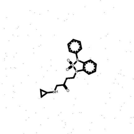 O=C(CCN1c2ccccc2N(c2ccccc2)S1(=O)=O)CNC1CC1